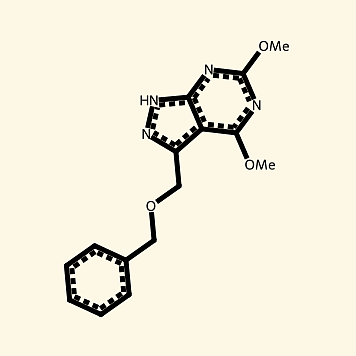 COc1nc(OC)c2c(COCc3ccccc3)n[nH]c2n1